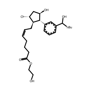 CCCCC(O)c1cccc([C@@H]2[C@@H](C/C=C\CCCC(=O)OCCO)[C@H](Cl)C[C@H]2O)c1